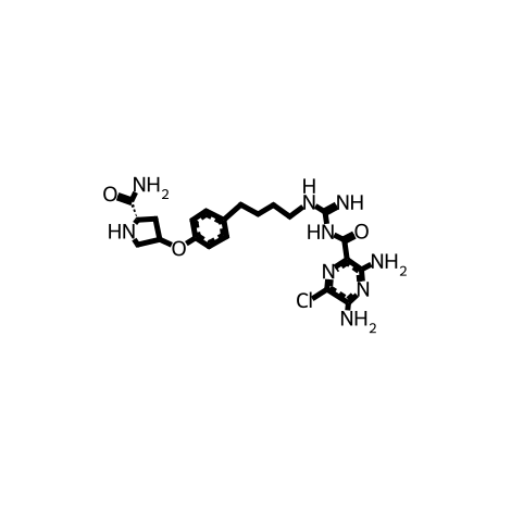 N=C(NCCCCc1ccc(OC2CN[C@H](C(N)=O)C2)cc1)NC(=O)c1nc(Cl)c(N)nc1N